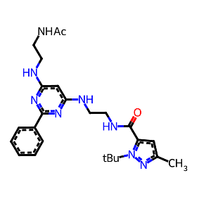 CC(=O)NCCNc1cc(NCCNC(=O)c2cc(C)nn2C(C)(C)C)nc(-c2ccccc2)n1